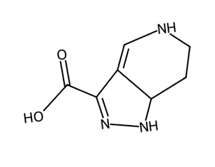 O=C(O)C1=NNC2CCNC=C12